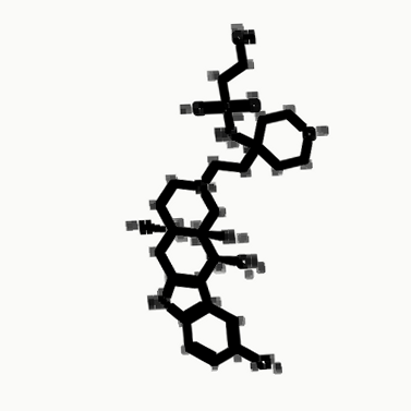 C[C@H]1c2c([nH]c3ccc(C(F)(F)F)cc23)C[C@H]2CCN(CCC3(NS(=O)(=O)CCO)CCOCC3)C[C@@H]21